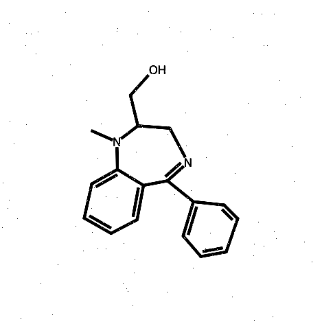 CN1c2ccccc2C(c2ccccc2)=NCC1CO